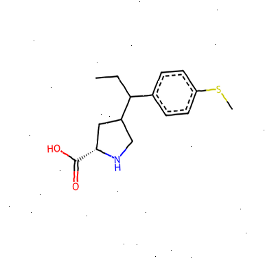 CCC(c1ccc(SC)cc1)C1CN[C@H](C(=O)O)C1